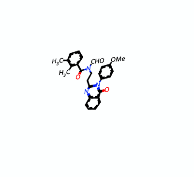 COc1ccc(-n2c(CCN(C=O)C(=O)c3cccc(C)c3C)nc3ccccc3c2=O)cc1